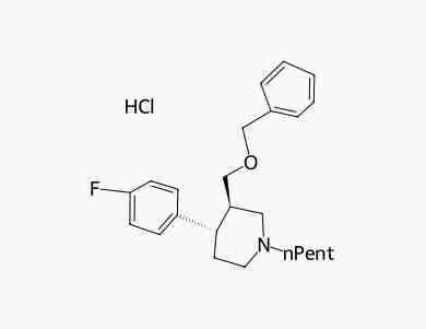 CCCCCN1CC[C@H](c2ccc(F)cc2)[C@@H](COCc2ccccc2)C1.Cl